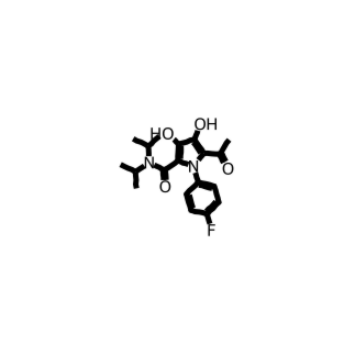 CC(=O)c1c(O)c(O)c(C(=O)N(C(C)C)C(C)C)n1-c1ccc(F)cc1